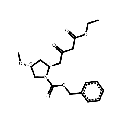 CCOC(=O)CC(=O)C[C@@H]1C[C@@H](OC)CN1C(=O)OCc1ccccc1